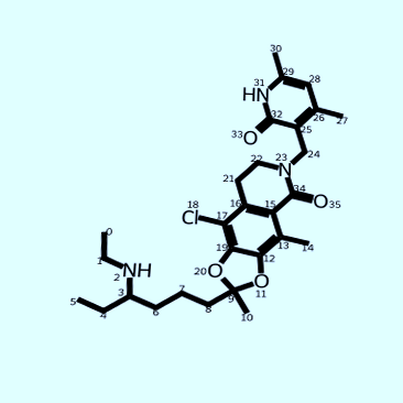 CCNC(CC)CCCC1(C)Oc2c(C)c3c(c(Cl)c2O1)CCN(Cc1c(C)cc(C)[nH]c1=O)C3=O